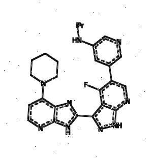 CC(C)Nc1cncc(-c2cnc3[nH]nc(-c4nc5c(N6CCCCC6)ccnc5[nH]4)c3c2F)c1